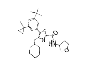 CC(C)(C)c1cc(-c2sc(C(=O)NC3CCOC3)nc2CC2CCCCC2)cc(C2(C)CC2)c1